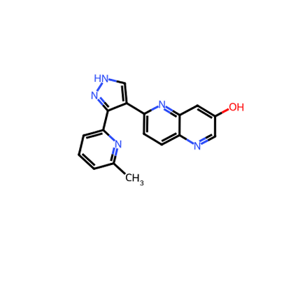 Cc1cccc(-c2n[nH]cc2-c2ccc3ncc(O)cc3n2)n1